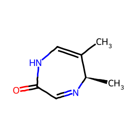 CC1=CNC(=O)C=N[C@@H]1C